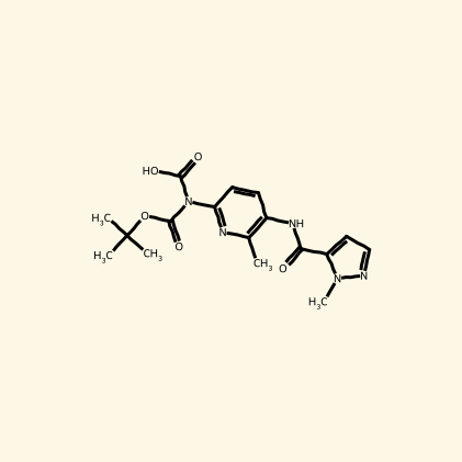 Cc1nc(N(C(=O)O)C(=O)OC(C)(C)C)ccc1NC(=O)c1ccnn1C